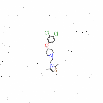 CC1=CSC(C)N1CCN1CCC(Oc2ccc(Cl)c(Cl)c2)CC1